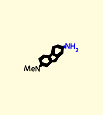 CNc1ccc2c(c1)Cc1cc(N)ccc1-2